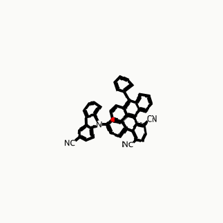 N#Cc1ccc2c(c1)c1ccccc1n2-c1ccc(-c2c(C#N)ccc(C#N)c2-c2c3ccccc3c(-c3ccccc3)c3ccccc23)cc1